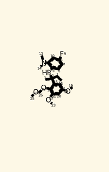 CCC(C)(Pc1ccc(F)cc1N(C)C)c1cc(OC)cc(OC)c1OCOC